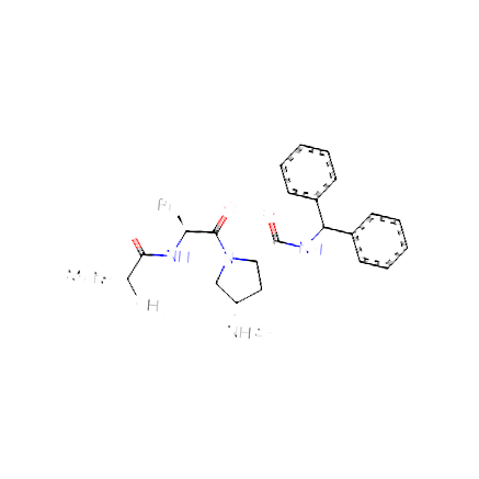 CN[C@@H](C)C(=O)N[C@H](C(=O)N1C[C@@H](NC(C)=O)C[C@H]1C(=O)NC(c1ccccc1)c1ccccc1)C(C)(C)C